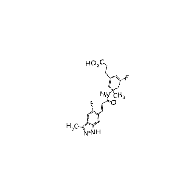 Cc1n[nH]c2cc(/C=C/C(=O)NC3(C)C=C(CCC(=O)O)C=C(F)C3)c(F)cc12